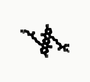 CCOC(=O)CCCCCn1c2ccc(Cl)cc2c(=O)c2cc3c(cc21)c(=O)c1cc(Cl)ccc1n3CCCCCC(=O)C(C)O